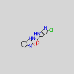 O=C(N[C@H]1Cc2ccccc2[N]C1=O)c1cc2cc(Cl)ncc2[nH]1